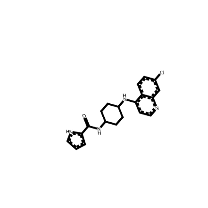 O=C(NC1CCC(Nc2ccnc3cc(Cl)ccc23)CC1)c1ccc[nH]1